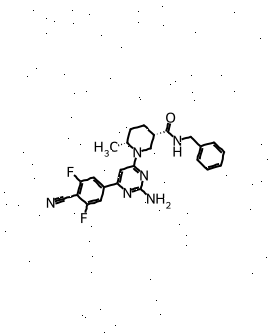 C[C@@H]1CC[C@H](C(=O)NCc2ccccc2)CN1c1cc(-c2cc(F)c(C#N)c(F)c2)nc(N)n1